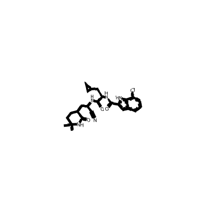 CC1(C)CCC(CC(C#N)NC(=O)C(CC2CC2)NC(=O)c2cc3cccc(Cl)c3[nH]2)C(=O)N1